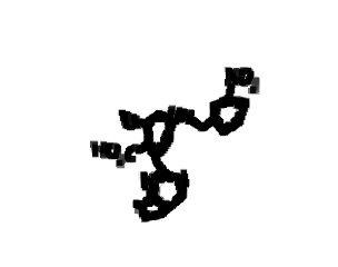 CCc1cc(NCc2cccc([N+](=O)[O-])c2)cc(-c2ncc3ccsc3n2)c1C(=O)O